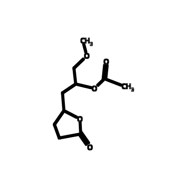 COCC(CC1CCC(=O)O1)OC(C)=O